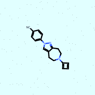 N#Cc1ccc(-n2cc3c(n2)CCN(C2=CC=C2)CC3)cc1